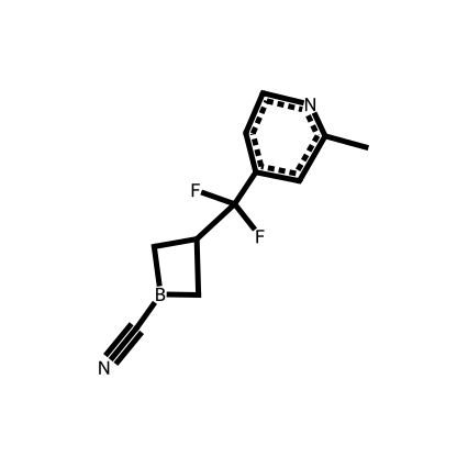 Cc1cc(C(F)(F)C2CB(C#N)C2)ccn1